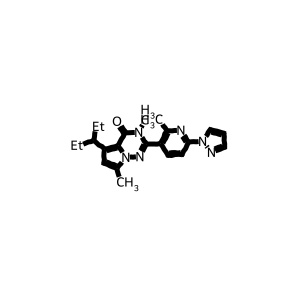 CCC(CC)c1cc(C)n2nc(-c3ccc(-n4cccn4)nc3C)n(C)c(=O)c12